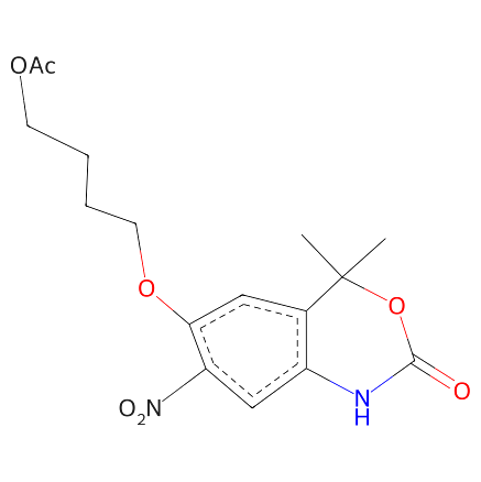 CC(=O)OCCCCOc1cc2c(cc1[N+](=O)[O-])NC(=O)OC2(C)C